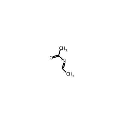 C/C=N/C(C)=O